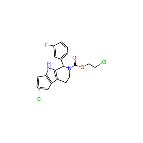 O=C(OCCCl)N1CCc2c([nH]c3ccc(Cl)cc23)C1c1cccc(F)c1